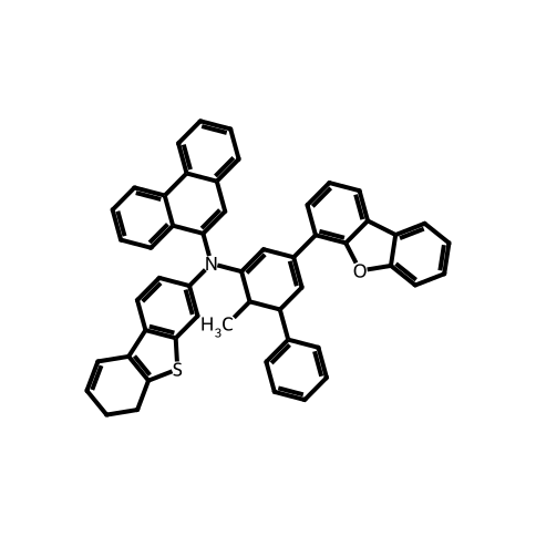 CC1C(N(c2ccc3c4c(sc3c2)CCC=C4)c2cc3ccccc3c3ccccc23)=CC(c2cccc3c2oc2ccccc23)=CC1c1ccccc1